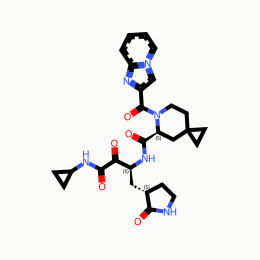 O=C(NC1CC1)C(=O)[C@H](C[C@@H]1CCNC1=O)NC(=O)[C@@H]1CC2(CCN1C(=O)c1cn3ccccc3n1)CC2